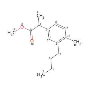 CCCCc1cc(C(C)C(=O)OC)ccc1C